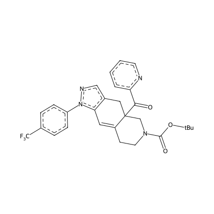 CC(C)(C)OC(=O)N1CCC2=Cc3c(cnn3-c3ccc(C(F)(F)F)cc3)CC2(C(=O)c2ccccn2)C1